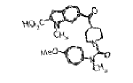 COc1ccc(N(C)C(=O)N2CCC(C(=O)c3ccc4cc(C(=O)O)n(C)c4c3)CC2)cc1